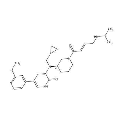 COc1cc(-c2c[nH]c(=O)c(N(CC3CC3)[C@@H]3CCCN(C(=O)C=CCNC(C)C)C3)c2)ccn1